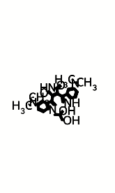 CN(C)c1ccc2[nH]cc(C3=C(c4cn(CC(O)CO)c5ccc(N(C)C)cc45)C(=O)NC3=O)c2c1